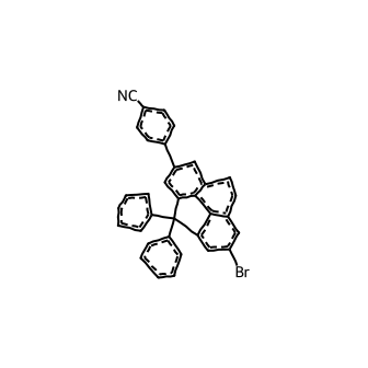 N#Cc1ccc(-c2cc3c4c(ccc5cc(Br)cc(c54)C3(c3ccccc3)c3ccccc3)c2)cc1